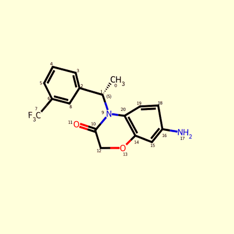 C[C@@H](c1cccc(C(F)(F)F)c1)N1C(=O)COc2cc(N)ccc21